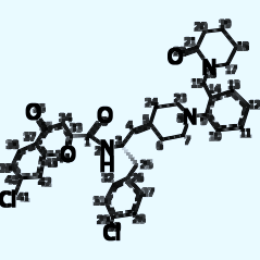 O=C(N[C@H](C=C1CCN(c2ccccc2CN2CCCCC2=O)CC1)Cc1ccc(Cl)cc1)c1cc(=O)c2ccc(Cl)cc2o1